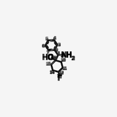 NC(c1ccccc1)C1(O)CCC(F)CC1